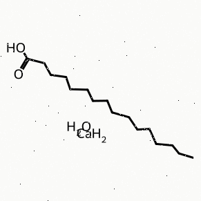 CCCCCCCCCCCCCCCC(=O)O.O.[CaH2]